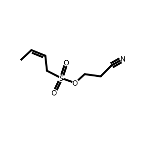 C/C=C\CS(=O)(=O)OCCC#N